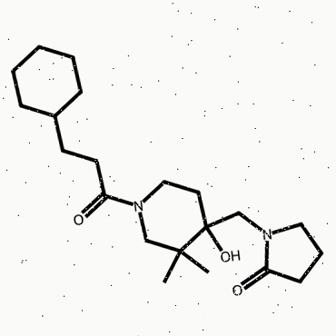 CC1(C)CN(C(=O)CCC2CCCCC2)CCC1(O)CN1CCCC1=O